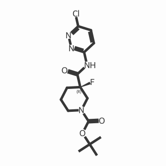 CC(C)(C)OC(=O)N1CCC[C@](F)(C(=O)Nc2ccc(Cl)nn2)C1